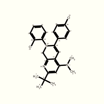 CN(C)c1cc(C(C)(C)C)nc2c1C=C(c1ccc(Cl)cc1)N(c1ccccc1Cl)C2